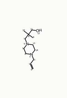 C=CCN1CCN(CC(C)(C)CO)CC1